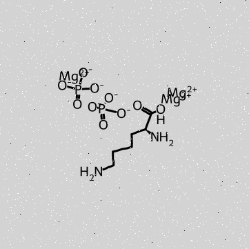 NCCCC[C@H](N)C(=O)O.O=P([O-])([O-])[O-].O=P([O-])([O-])[O-].[Mg+2].[Mg+2].[Mg+2]